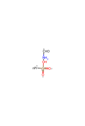 CCCS(=O)(=O)O.NC=O